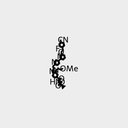 COCCn1c(Cc2ccc(-c3cccc(OCc4ccc(C#N)cc4F)n3)cn2)nc2ccc(C(=O)NS(=O)(=O)C3CC3)cc21